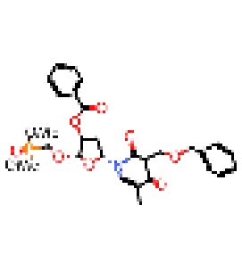 COP(=O)(CO[C@H]1O[C@@H](N2C=C(C)C(=O)C(COCc3ccccc3)C2=O)C[C@@H]1OC(=O)c1ccccc1)OC